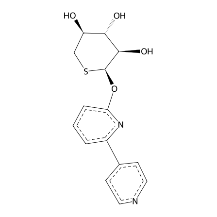 O[C@@H]1[C@@H](O)[C@@H](Oc2cccc(-c3ccncc3)n2)SC[C@H]1O